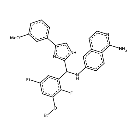 CCOc1cc(CC)cc(C(Nc2ccc3c(N)nccc3c2)c2nc(-c3cccc(OC)c3)c[nH]2)c1F